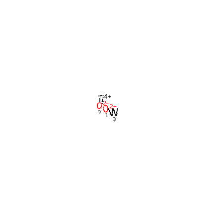 [O-2].[O-2].[Ti+4].[W]